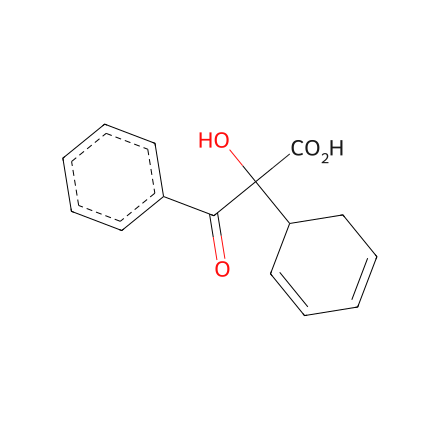 O=C(O)C(O)(C(=O)c1ccccc1)C1C=CC=CC1